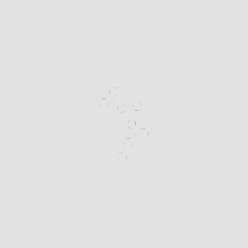 c1cnc2c(c1)oc1cc(-n3c4ccccc4c4cc(-n5c6ccccc6c6cc(-n7c8ccccc8c8ccccc87)ccc65)ccc43)ccc12